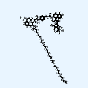 CC[C@@]1(O)C(=O)OCc2c1cc1n(c2=O)Cc2c-1nc1cc(F)c(C)c3c1c2[C@@H](NC(=O)OCc1ccc(NC(=O)[C@H](CCCCN)NC(=O)[C@H](Cc2ccccc2)NC(=O)CCOCCOCCOCCOCCOCCOCCOCCOCCOCCN=[N+]=[N-])cc1)CC3